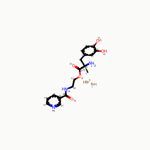 Br.Br.C[C@](N)(Cc1ccc(O)c(O)c1)C(=O)OCCNC(=O)c1cccnc1